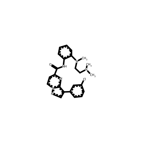 CN(C)CCN(C)c1ccccc1NC(=O)c1ccn2ncc(-c3cccc(Cl)c3)c2n1